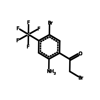 Nc1cc(S(F)(F)(F)(F)F)c(Br)cc1C(=O)CBr